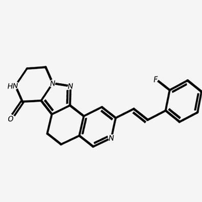 O=C1NCCn2nc3c(c21)CCc1cnc(C=Cc2ccccc2F)cc1-3